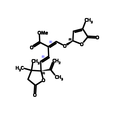 C=C(C)[C@]1(/C=C/C(=C\O[C@H]2C=C(C)C(=O)O2)C(=O)OC)OC(=O)CC1(C)C